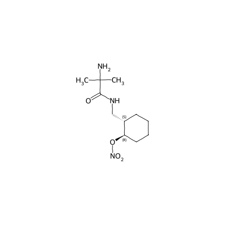 CC(C)(N)C(=O)NC[C@@H]1CCCC[C@H]1O[N+](=O)[O-]